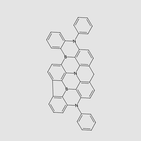 c1ccc(N2c3ccccc3B3c4ccc5c6c4N4c7c(ccc2c73)Cc2ccc3c(c24)B6c2c-5cccc2N3c2ccccc2)cc1